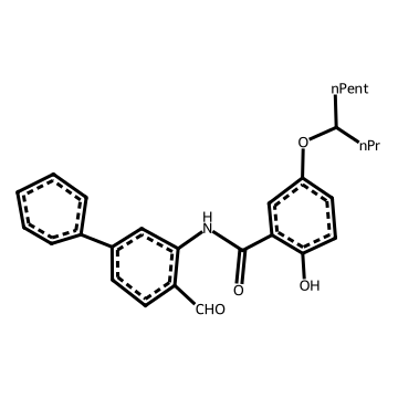 CCCCCC(CCC)Oc1ccc(O)c(C(=O)Nc2cc(-c3ccccc3)ccc2C=O)c1